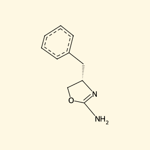 NC1=N[C@@H](Cc2ccccc2)CO1